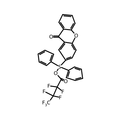 O=C(OS(c1ccccc1)(c1ccccc1)c1ccc2oc3ccccc3c(=O)c2c1)C(F)(F)C(F)(F)C(F)(F)F